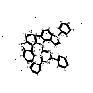 c1ccc(-c2nc(-c3ccccc3)nc(-n3c4c(ccc5c4ccn5-c4ccccc4)c4ccc5sc6ccccc6c5c43)n2)cc1